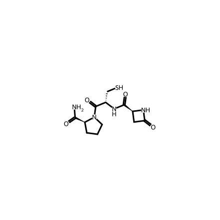 NC(=O)[C@@H]1CCCN1C(=O)[C@H](CS)NC(=O)[C@@H]1CC(=O)N1